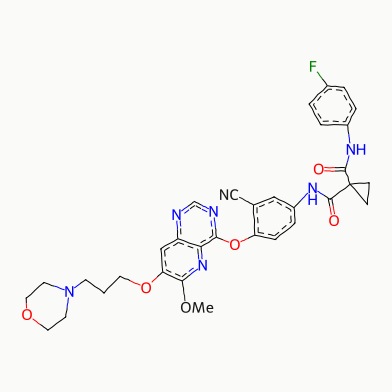 COc1nc2c(Oc3ccc(NC(=O)C4(C(=O)Nc5ccc(F)cc5)CC4)cc3C#N)ncnc2cc1OCCCN1CCOCC1